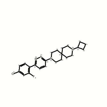 Fc1cc(Cl)ccc1-c1ccc(N2CCC3(CC2)CCN(C2CCC2)CC3)nn1